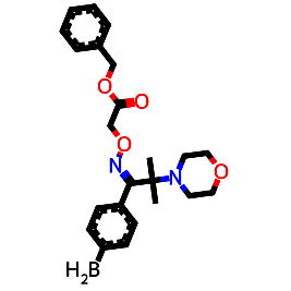 Bc1ccc(/C(=N/OCC(=O)OCc2ccccc2)C(C)(C)N2CCOCC2)cc1